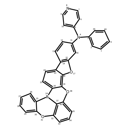 c1ccc(N(c2ccncc2)c2ccc3c(c2)oc2c4c(ccc23)B2c3ccccc3Oc3cccc(c32)O4)cc1